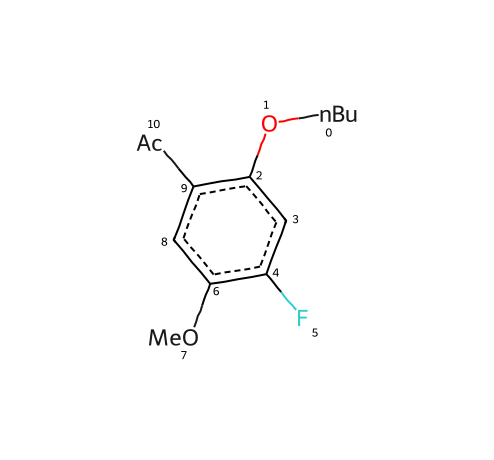 CCCCOc1cc(F)c(OC)cc1C(C)=O